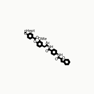 CCCCCCCOc1ccc(C(=O)Oc2ccc(CC(NC(=O)c3ccc(NC(=O)c4cc5ccccc5o4)cc3)C(C)=O)cc2OC)cc1